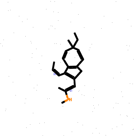 C/C=C\C1=C(/C=C(\C)PC)CC2=C1C=CC(C)(CC)C=C2